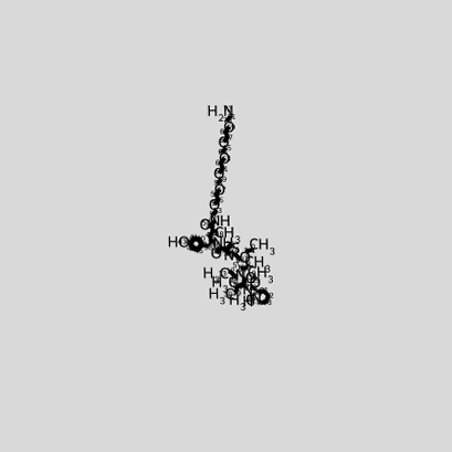 CCCO[C@H](C[C@H](C(C)C)N(CCC)C(=O)[C@@H](NC(=O)[C@H]1CCCCN1C)[C@@H](C)CC)c1nc(C(=O)N[C@@H](Cc2ccc(O)cc2)C[C@H](C)C(=O)NCCOCCOCCOCCOCCOCCOCCN)cs1